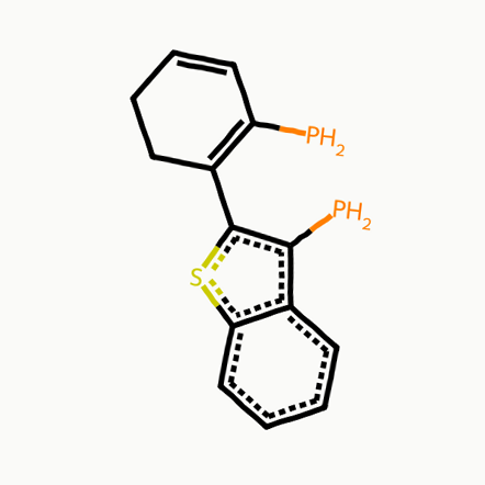 PC1=C(c2sc3ccccc3c2P)CCC=C1